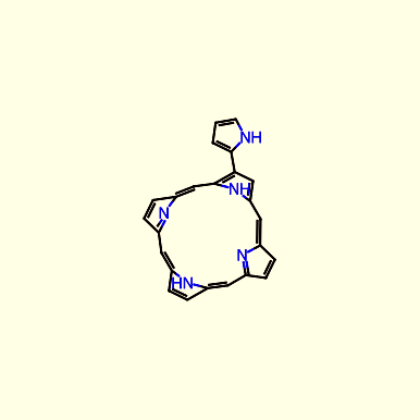 C1=Cc2cc3cc(-c4ccc[nH]4)c(cc4nc(cc5ccc(cc1n2)[nH]5)C=C4)[nH]3